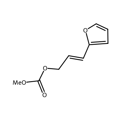 COC(=O)OCC=Cc1ccco1